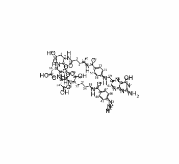 C[C@H](CCC(=O)N[C@H](CC(=O)O)C(=O)N[C@@H](CC(=O)O)C(=O)N[C@@H](CC(=O)O)C(=O)N[C@@H](CCCCNC(=O)c1ccc(N=[N+]=[N-])cc1)C(=O)O)NC(=O)c1ccc(NCc2cnc3nc(N)nc(O)c3n2)cc1